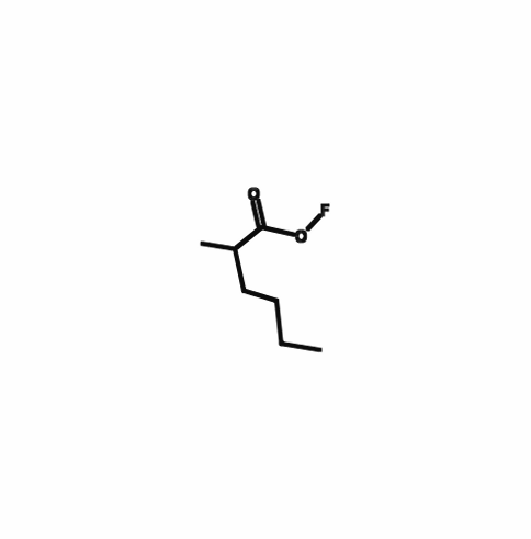 CCCCC(C)C(=O)OF